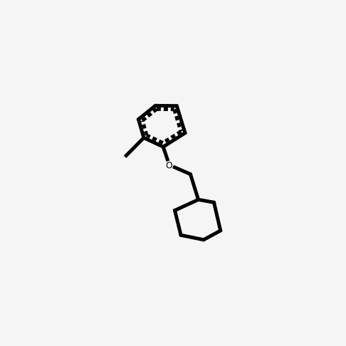 Cc1ccccc1OCC1CCCCC1